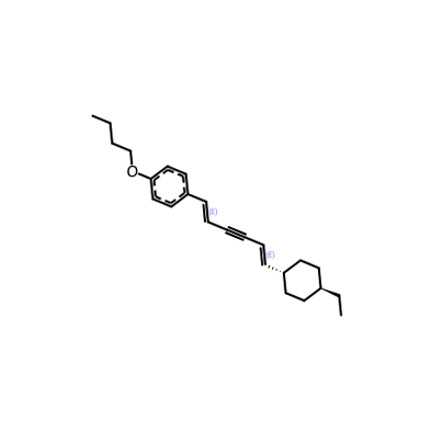 CCCCOc1ccc(/C=C/C#C/C=C/[C@H]2CC[C@H](CC)CC2)cc1